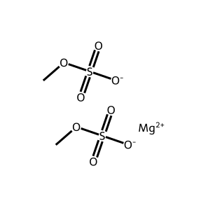 COS(=O)(=O)[O-].COS(=O)(=O)[O-].[Mg+2]